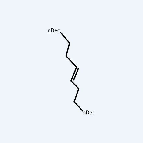 CCCCCCCCCCCC/C=C/CCCCCCCCCCCC